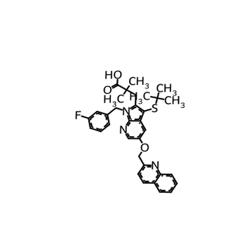 CC(C)(C)Sc1c(CC(C)(C)C(=O)O)n(Cc2cccc(F)c2)c2ncc(OCc3ccc4ccccc4n3)cc12